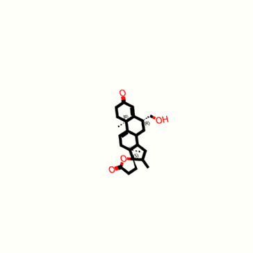 CC1CC2C3C[C@@H](CO)C4=CC(=O)CC[C@]4(C)C3=CC[C@]2(C)[C@]12CCC(=O)O2